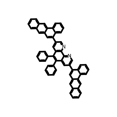 c1ccc(-c2c(-c3ccccc3)c3cc(-c4cc5cc6ccccc6cc5c5ccccc45)cnc3c3ncc(-c4cc5cc6ccccc6cc5c5ccccc45)cc23)cc1